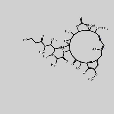 COc1cc2cc(c1Cl)N(C)C(=O)CC(OC(=O)C(C)N(C)C(O)C(C)N(C)C(=O)CCS)C1(C)OC1C(C)C1CC(O)(NC(=O)O1)C(OC)/C=C/C=C(\C)C2